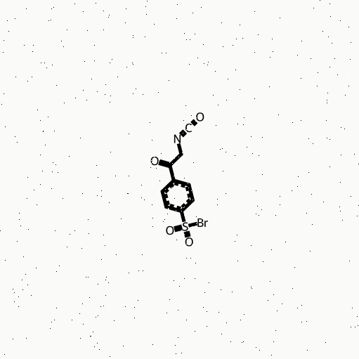 O=C=NCC(=O)c1ccc(S(=O)(=O)Br)cc1